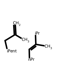 C=C(C)CC(C)CCC.CCCC=C(C)C(C)C